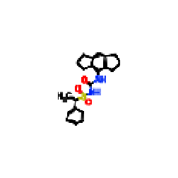 CC(c1ccccc1)S(=O)(=O)NC(=O)Nc1c2c(cc3c1CCC3)CCC2